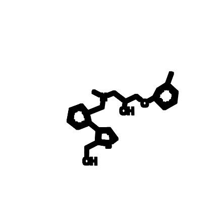 Cc1cccc(OCC(O)CN(C)Cc2ccccc2-c2ccsc2CO)c1